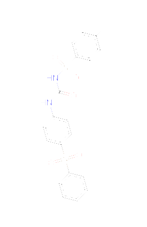 Cc1ccc(S(=O)(=O)NC(=O)Nc2ccc(S(=O)(=O)c3ccccc3)cc2)cc1